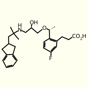 C[C@@H](OC[C@H](O)CNC(C)(C)CC1Cc2ccccc2C1)c1ccc(F)cc1CCC(=O)O